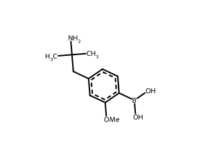 COc1cc(CC(C)(C)N)ccc1B(O)O